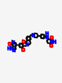 COc1cc(-c2cn(C)c(=O)c3[nH]ncc23)cc(OC)c1CN1CCc2cc(CN3CCC(c4ccc(NC5CCC(=O)NC5=O)cc4)CC3)ccc2C1